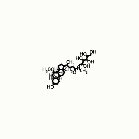 CO[C@@H]1C[C@@H]2C[C@H](O)CC[C@]2(C)[C@H]2CC[C@]3(C)C([C@H](C)CCC(=O)N(C)C[C@H](O)[C@@H](O)[C@H](O)[C@H](O)CO)CC[C@H]3[C@H]12